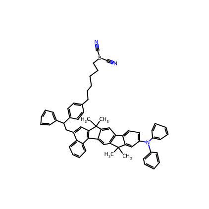 CC1(C)c2cc(N(c3ccccc3)c3ccccc3)ccc2-c2cc3c(cc21)-c1c(cc(CC(c2ccccc2)c2ccc(CCCCCCB(C#N)C#N)cc2)c2ccccc12)C3(C)C